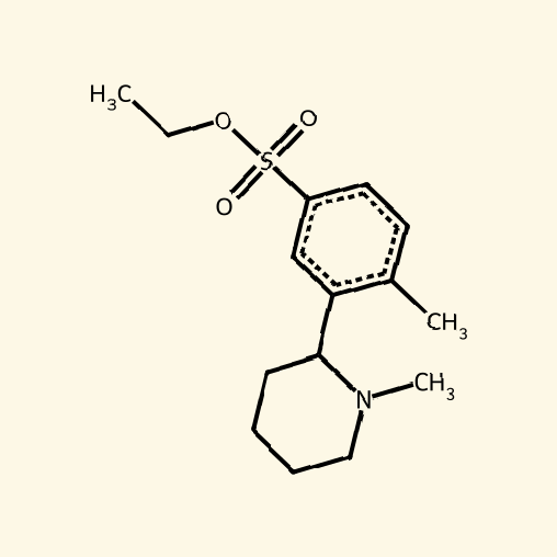 CCOS(=O)(=O)c1ccc(C)c(C2CCCCN2C)c1